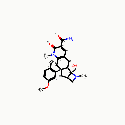 COc1ccc(C)c([C@@]23Cc4c(cc(C(N)=O)c(=O)n4C)C[C@@]2(O)[C@H]2C(CN2C)C3)c1